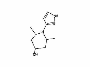 CC1CC(O)CC(C)N1c1cc[nH]n1